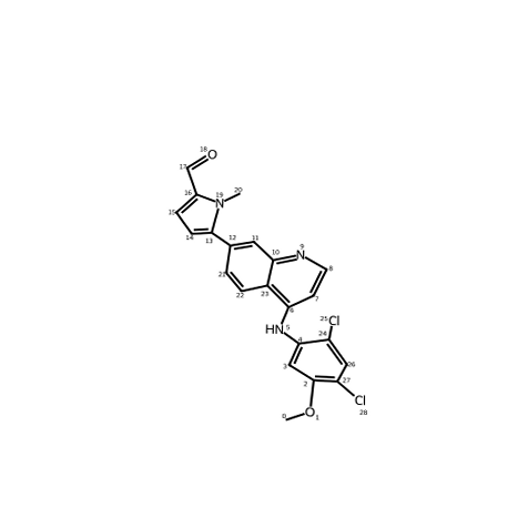 COc1cc(Nc2ccnc3cc(-c4ccc(C=O)n4C)ccc23)c(Cl)cc1Cl